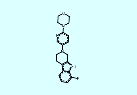 Fc1cccc2c3c([nH]c12)CN(c1ccc(N2CCOCC2)nc1)CC3